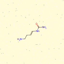 NCCC=CNC(N)=O